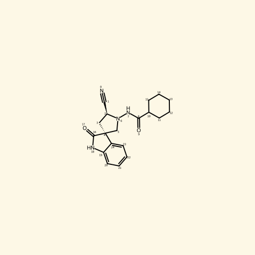 N#C[C@@H]1C[C@@]2(CN1NC(=O)C1CCCCC1)C(=O)Nc1ccccc12